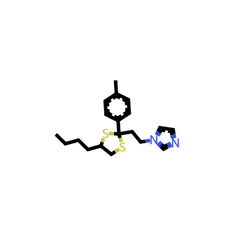 CCCCC1CSC(CCn2ccnc2)(c2ccc(C)cc2)S1